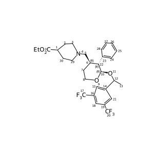 CCOC(=O)C1CCN(C[C@@H]2CCO[C@H](OC(C)c3cc(C(F)(F)F)cc(C(F)(F)F)c3)[C@H]2c2ccccc2)CC1